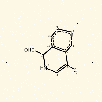 O=CC1NC=C(Cl)c2ccccc21